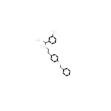 CCCCC(NCCc1ccc(OCc2ccccc2)cc1)c1cccc([N+](=O)[O-])c1